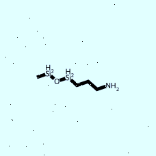 C[SiH2]O[SiH2]CCCN